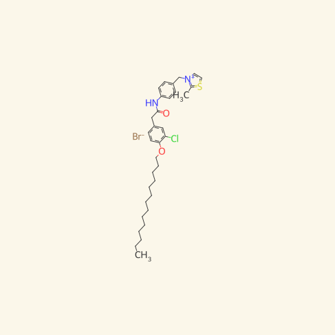 CCCCCCCCCCCCCCOc1ccc(CC(=O)Nc2ccc(C[n+]3ccsc3C)cc2)cc1Cl.[Br-]